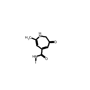 CC1=CC(C(=O)NI)=CC(=O)CN1